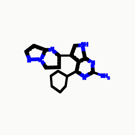 Nc1nc(C2CCCCC2)c2c(-c3ccn4nccc4n3)c[nH]c2n1